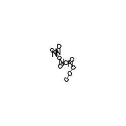 c1ccc(-c2ccc(-c3cccc(-n4c5ccccc5c5cc6c(cc54)c4ccccc4n6-c4ccc(-c5nc(-c6ccccc6)c6ccccc6n5)cc4)c3)cc2)cc1